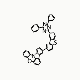 C1=c2sc3ccc(-c4ccc5c(c4)c4cccc6c4n5-c4ccccc4O6)cc3c2=CC(c2nc(-c3ccccc3)nc(-c3ccccc3)n2)C1